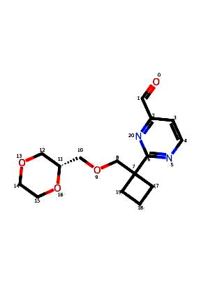 O=Cc1ccnc(C2(COC[C@H]3COCCO3)CCC2)n1